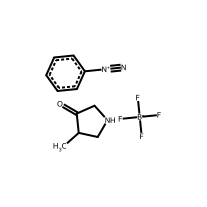 CC1CNCC1=O.F[B-](F)(F)F.N#[N+]c1ccccc1